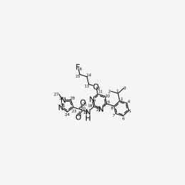 CC(C)c1ccccc1-c1cc(OCCCF)nc(NS(=O)(=O)c2cnn(C)c2)n1